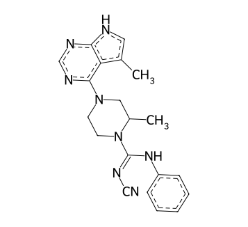 Cc1c[nH]c2ncnc(N3CCN(C(=NC#N)Nc4ccccc4)C(C)C3)c12